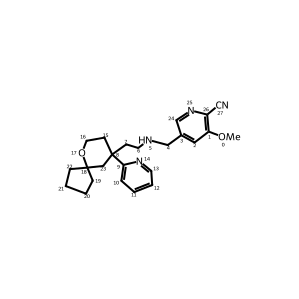 COc1cc(CNCCC2(c3ccccn3)CCOC3(CCCC3)C2)cnc1C#N